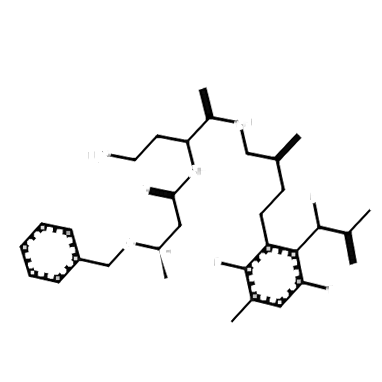 C=C(CCc1c(F)c(C)cc(F)c1C(F)C(=C)C)CNC(=C)C(CCN)NC(=O)C[C@@H](C)OCc1ccccc1